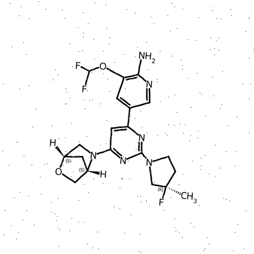 C[C@@]1(F)CCN(c2nc(-c3cnc(N)c(OC(F)F)c3)cc(N3C[C@@H]4C[C@H]3CO4)n2)C1